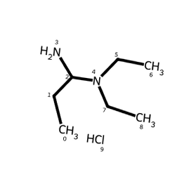 CCC(N)N(CC)CC.Cl